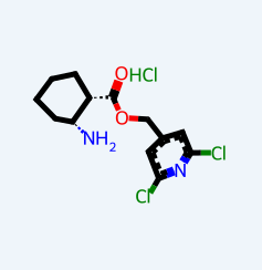 Cl.N[C@@H]1CCCC[C@@H]1C(=O)OCc1cc(Cl)nc(Cl)c1